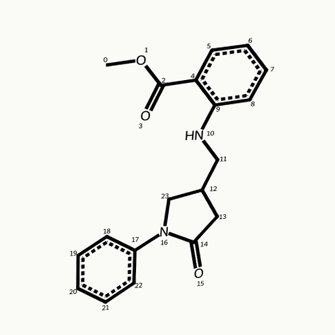 COC(=O)c1ccccc1NCC1CC(=O)N(c2ccccc2)C1